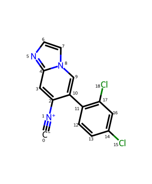 [C-]#[N+]c1cc2nccn2cc1-c1ccc(Cl)cc1Cl